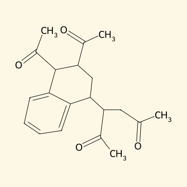 CC(=O)CC(C(C)=O)C1CC(C(C)=O)C(C(C)=O)c2ccccc21